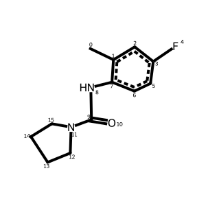 Cc1cc(F)ccc1NC(=O)N1CCCC1